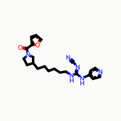 N#CN=C(NCCCCCCC1CCN(C(=O)c2ccco2)C1)Nc1ccncc1